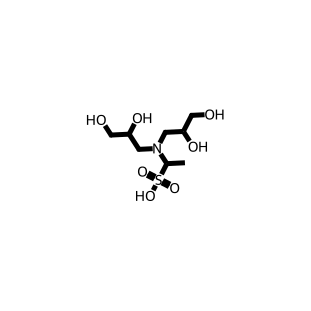 CC(N(CC(O)CO)CC(O)CO)S(=O)(=O)O